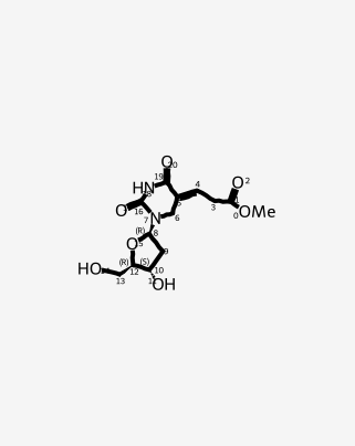 COC(=O)CC=C1CN([C@H]2C[C@H](O)[C@@H](CO)O2)C(=O)NC1=O